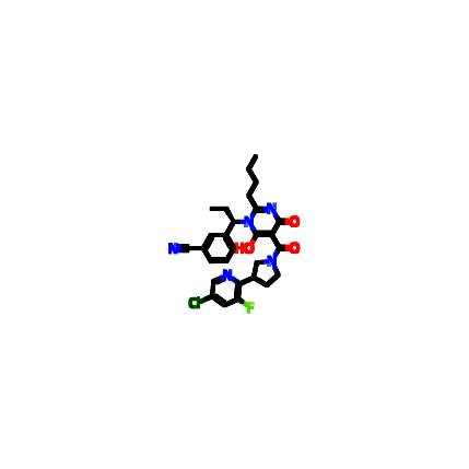 CCCCc1nc(=O)c(C(=O)N2CCC(c3ncc(Cl)cc3F)C2)c(O)n1[C@H](CC)c1cccc(C#N)c1